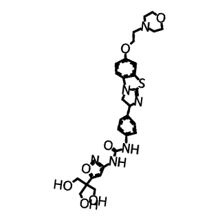 O=C(Nc1ccc(C2CN3C(=N2)Sc2cc(OCCN4CCOCC4)ccc23)cc1)Nc1cc(C(CO)(CO)CO)on1